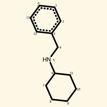 [c]1ccc(CNC2CCCCC2)cc1